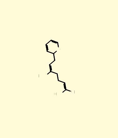 CC(C)=CCC/C(C)=C\CC1C=CC=CO1